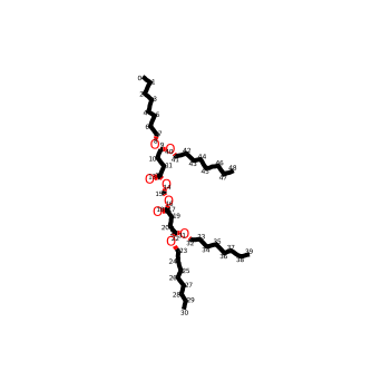 CCCCCCCCOC(CCC(=O)OCOC(=O)CCC(OCCCCCCCC)OCCCCCCCC)OCCCCCCCC